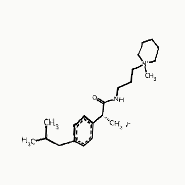 CC(C)Cc1ccc([C@@H](C)C(=O)NCCC[N+]2(C)CCCCC2)cc1.[I-]